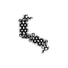 CCCCC(CC)CN1C(=O)c2ccc3c4ccc5c6c(ccc(c7ccc(c2c37)C1=O)c64)C(=O)N(C(C)COCC(C)N1C(=O)c2ccc3c4ccc6c7c(ccc(c8ccc(c2c38)C1=O)c74)C(=O)N(CC(CC)CCCC)C6=O)C5=O